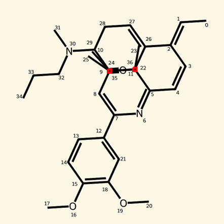 C\C=C(/C=C\C(=N\C(=C/C(C)=O)c1ccc(OC)c(OC)c1)C(C)CC)C1=CCC(N(C)CCC)CC1